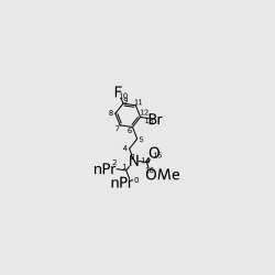 CCCC(CCC)N(CCc1ccc(F)cc1Br)C(=O)OC